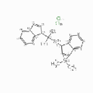 CC[C](CC)([Zr+2][CH]1C2=C(c3ccccc31)[Si]2(C)C)C1C=Cc2ccccc21.[Cl-].[Cl-]